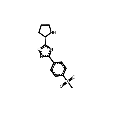 CS(=O)(=O)c1ccc(-c2noc([C@H]3CCCN3)n2)cc1